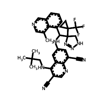 Cc1cncc2cccc(C(Nc3cc(C#N)c4ncc(C#N)c(NCC(C)(C)C)c4c3)C3(C4(C(F)(F)F)CC4)CNN=N3)c12